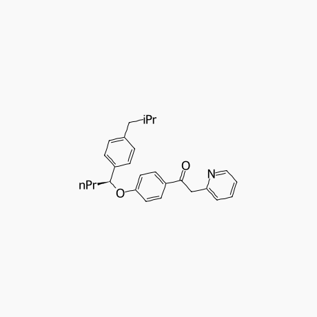 CCC[C@H](Oc1ccc(C(=O)Cc2ccccn2)cc1)c1ccc(CC(C)C)cc1